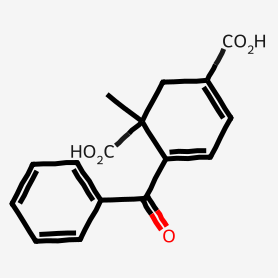 CC1(C(=O)O)CC(C(=O)O)=CC=C1C(=O)c1ccccc1